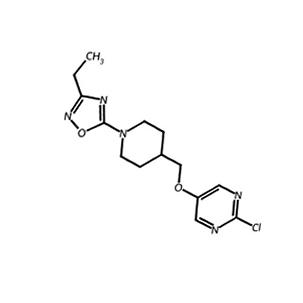 CCc1noc(N2CCC(COc3cnc(Cl)nc3)CC2)n1